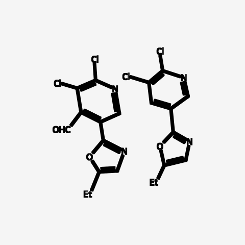 CCc1cnc(-c2cnc(Cl)c(Cl)c2)o1.CCc1cnc(-c2cnc(Cl)c(Cl)c2C=O)o1